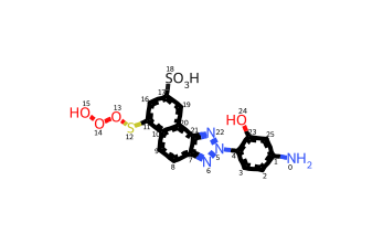 Nc1ccc(-n2nc3ccc4c(SOOO)cc(S(=O)(=O)O)cc4c3n2)c(O)c1